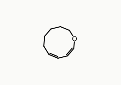 C1=CCCCCCOC=C1